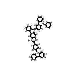 c1ccc(-n2c3ccccc3c3cc(-n4c5ccccc5c5cc6[nH]c(-c7ccc(-n8c9ccccc9c9ccccc98)cc7)nc6cc54)ccc32)cc1